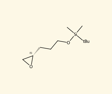 CC(C)(C)[Si](C)(C)OCCC[C@H]1CO1